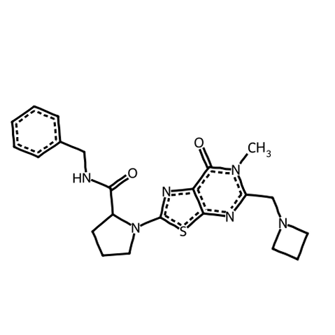 Cn1c(CN2CCC2)nc2sc(N3CCCC3C(=O)NCc3ccccc3)nc2c1=O